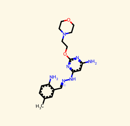 Cc1ccc(N)c(/C=N/Nc2cc(N)nc(OCCN3CCOCC3)n2)c1